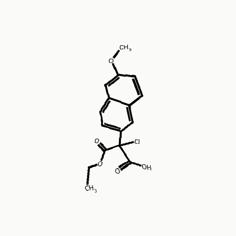 CCOC(=O)C(Cl)(C(=O)O)c1ccc2cc(OC)ccc2c1